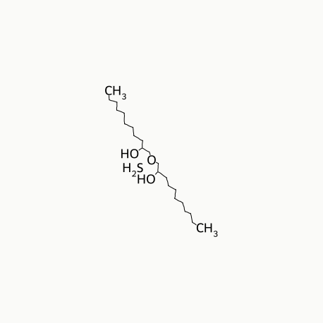 CCCCCCCCCC(O)COCC(O)CCCCCCCCC.S